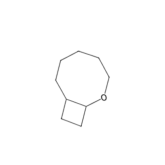 C1CCOC2CCC2CC1